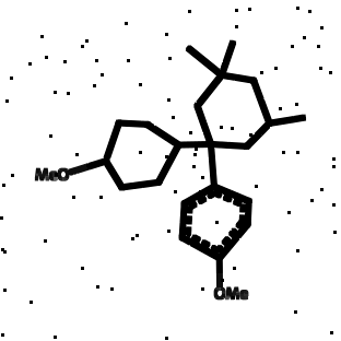 COc1ccc(C2(C3CCC(OC)CC3)CC(C)CC(C)(C)C2)cc1